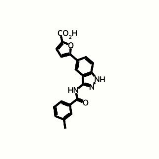 Cc1cccc(C(=O)Nc2n[nH]c3ccc(-c4ccc(C(=O)O)o4)cc23)c1